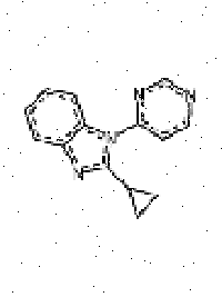 c1ccc2c(c1)nc(C1CC1)n2-c1ccncn1